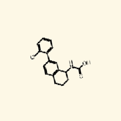 O=C(O)NC1CCCc2ccc(-c3ccccc3Cl)cc21